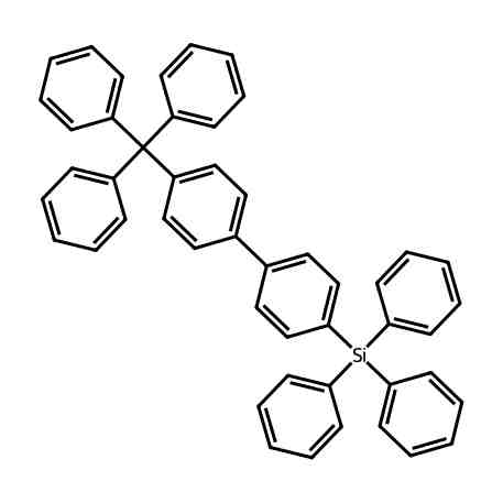 c1ccc(C(c2ccccc2)(c2ccccc2)c2ccc(-c3ccc([Si](c4ccccc4)(c4ccccc4)c4ccccc4)cc3)cc2)cc1